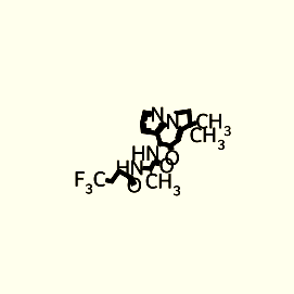 C[C@H](NC(=O)CCC(F)(F)F)C(=O)NC1C(=O)C=C2N(CCC2(C)C)c2ncccc21